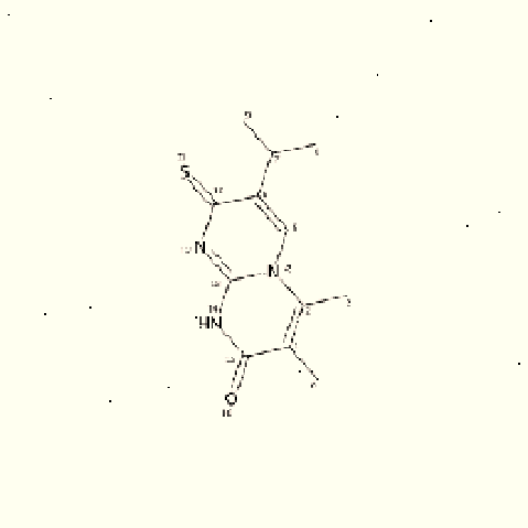 Cc1c(C)n2cc(C(C)C)c(=S)nc2[nH]c1=O